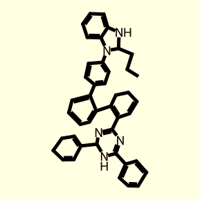 CCCC1Nc2ccccc2N1c1ccc(-c2ccccc2C2=C(C3=NC(C4=CCCC=C4)NC(c4ccccc4)=N3)C=CCC2)cc1